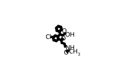 CC(=O)NCCCC(=O)c1ccc(Cl)cc1C(CC(=O)O)c1ccccc1